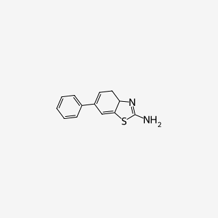 NC1=NC2CC=C(c3ccccc3)C=C2S1